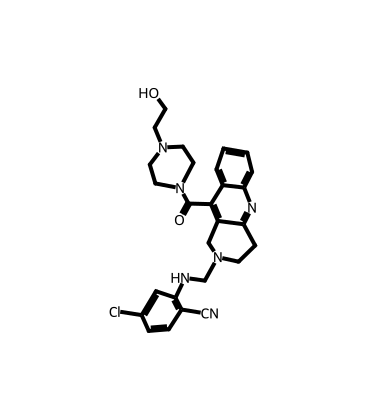 N#Cc1ccc(Cl)cc1NCN1CCc2nc3ccccc3c(C(=O)N3CCN(CCO)CC3)c2C1